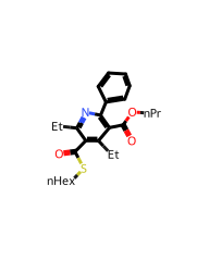 CCCCCCSC(=O)c1c(CC)nc(-c2ccccc2)c(C(=O)OCCC)c1CC